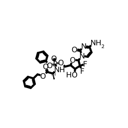 C[C@H](NP(=O)(OCC1OC(n2ccc(N)nc2=O)C(F)(F)C1O)Oc1ccccc1)C(=O)OCc1ccccc1